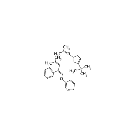 CC(C)=CC(=COc1ccccc1)c1ccccc1.C[C](C)=[Ti][C]1=CC(C(C)(C)C)=CC1